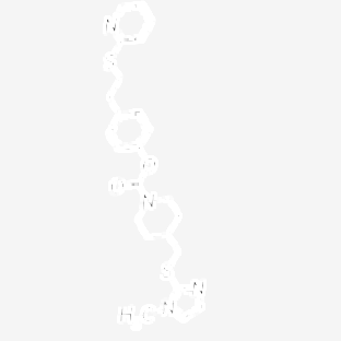 Cn1ccnc1SCC1CCN(C(=O)Oc2ccc(CCSc3ccccn3)cc2)CC1